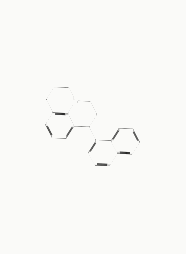 c1cc2c3c(c1)C(c1cccc4ccccc14)CCN3CCC2